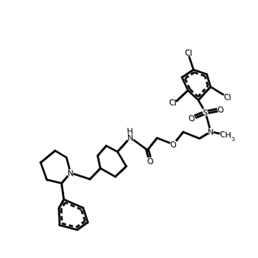 CN(CCOCC(=O)NC1CCC(CN2CCCCC2c2ccccc2)CC1)S(=O)(=O)c1c(Cl)cc(Cl)cc1Cl